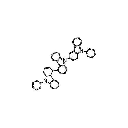 C1=CC(c2cccc3c2c2ccccc2n3-c2ccc3c(c2)c2ccccc2n3-c2ccccc2)C2C(=C1)N(c1ccccc1)c1ccccc12